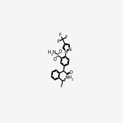 NC(=O)C(c1ccc(-n2cc(C(F)(F)F)cn2)c(S(N)(=O)=O)c1)c1ccccc1C(F)F